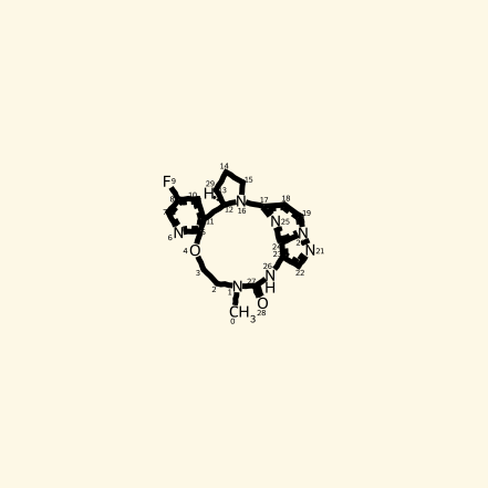 CN1CCOc2ncc(F)cc2[C@H]2CCCN2c2ccn3ncc(c3n2)NC1=O